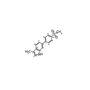 Cc1n[nH]c2cc(-c3ccc(S(C)(=O)=O)cc3)ccc12